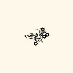 C[C@H](NP(=O)(OC[C@@H]1C[C@H](OP(=O)(N[C@@H](C)C(=O)OCc2ccccc2)Oc2ccccc2)[C@H](n2cnc3c(N)ncnc32)O1)Oc1ccccc1)C(=O)OCc1ccccc1